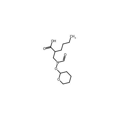 CCCCC(CN(C=O)OC1CCCCO1)C(=O)O